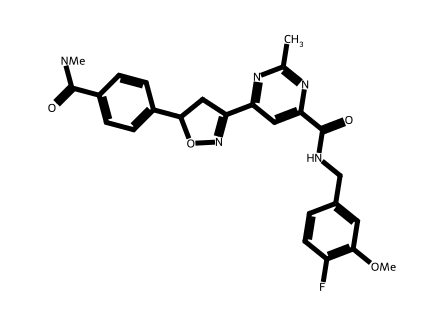 CNC(=O)c1ccc(C2CC(c3cc(C(=O)NCc4ccc(F)c(OC)c4)nc(C)n3)=NO2)cc1